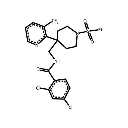 CCS(=O)(=O)N1CCC(CNC(=O)c2ccc(Cl)cc2Cl)(c2ncccc2C(F)(F)F)CC1